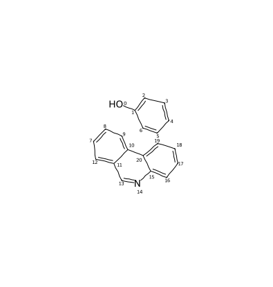 Oc1ccccc1.c1ccc2c(c1)cnc1ccccc12